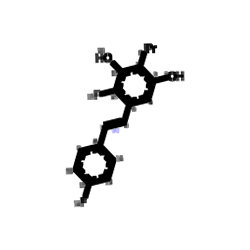 CC(C)c1c(O)cc(/C=C/c2ccc(F)cc2)c(F)c1O